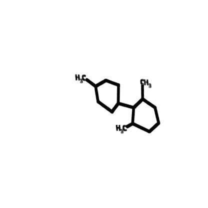 CC1CCC([C]2C(C)CCCC2C)CC1